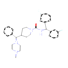 CN1CCN(C(c2ccccc2)C2CCN(C(=O)NC(c3cccc(F)c3)c3cccc(F)c3)CC2)CC1